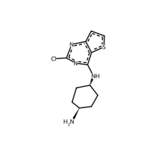 N[C@H]1CC[C@@H](Nc2nc(Cl)nc3ccsc23)CC1